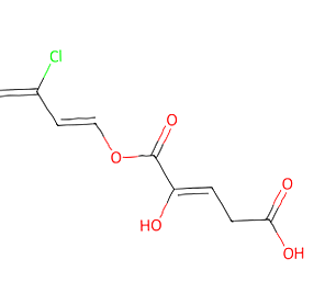 C=C(Cl)C=COC(=O)C(O)=CCC(=O)O